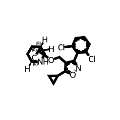 Clc1cccc(Cl)c1-c1noc(C2CC2)c1CO[C@@H]1C[C@H]2CC[C@@H]1CN2